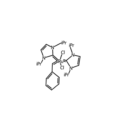 CC(C)n1ccn(C(C)C)[c]1=[Ru]([Cl])([Cl])(=[CH]c1ccccc1)=[c]1n(C(C)C)ccn1C(C)C